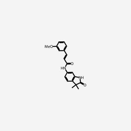 COc1cccc(/C=C/C(=O)Nc2ccc3c(c2)NC(=O)C3(C)C)c1